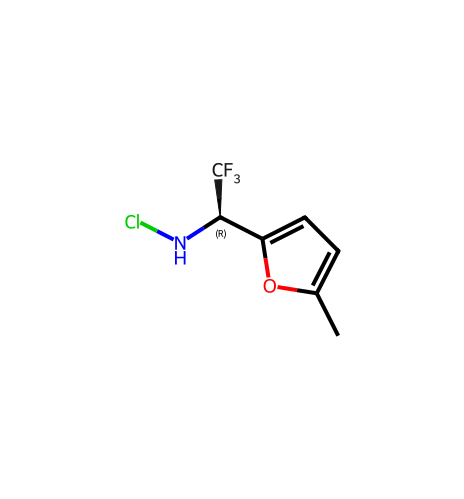 Cc1ccc([C@@H](NCl)C(F)(F)F)o1